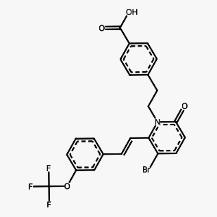 O=C(O)c1ccc(CCn2c(C=Cc3cccc(OC(F)(F)F)c3)c(Br)ccc2=O)cc1